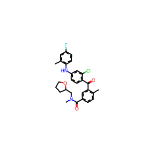 Cc1cc(F)ccc1Nc1ccc(C(=O)c2cc(C(=O)N(C)CC3CCCO3)ccc2C)c(Cl)c1